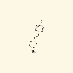 CCCCC1CCC(CCc2ccc(Cl)nn2)CC1